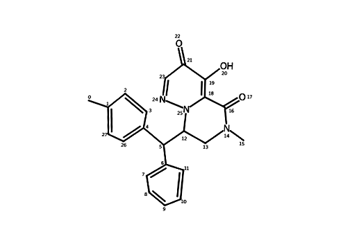 Cc1ccc(C(c2ccccc2)C2CN(C)C(=O)c3c(O)c(=O)cnn32)cc1